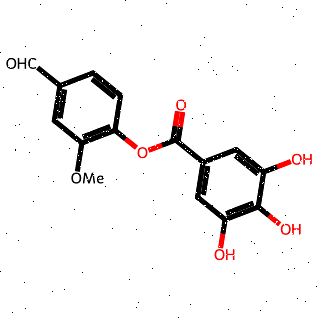 COc1cc(C=O)ccc1OC(=O)c1cc(O)c(O)c(O)c1